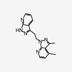 Cc1ccnc2c1c(C)nn2CCc1n[nH]c2ncccc12